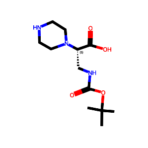 CC(C)(C)OC(=O)NC[C@@H](C(=O)O)N1CCNCC1